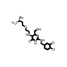 CCC(C)[C@@H](C)CCOCCNc1c(C=N)nc(NCc2ccc(Cl)c(Cl)c2)[nH]c1=O